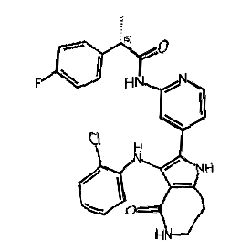 C[C@H](C(=O)Nc1cc(-c2[nH]c3c(c2Nc2ccccc2Cl)C(=O)NCC3)ccn1)c1ccc(F)cc1